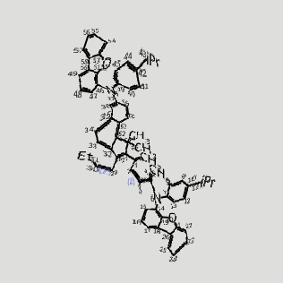 C=C(/C=C\C(=C)N(c1ccc(C(C)C)cc1)c1cccc2c1oc1ccccc12)C1=C(/C=C\CC)c2ccc3cc(N(c4ccc(C(C)C)cc4)c4cccc5c4oc4ccccc45)ccc3c2C1(C)C